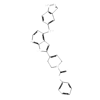 O=C(Oc1ccccc1)N1CC=C(c2cc3c(Nc4ccc5[nH]ncc5c4)ccnc3[nH]2)CC1